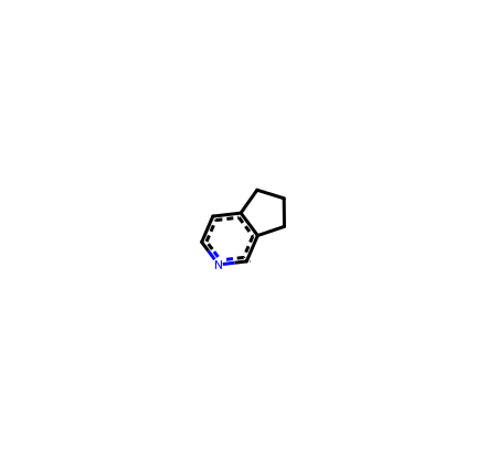 [c]1nccc2c1CCC2